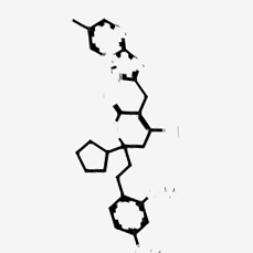 COc1ccc(CCC2(C3CCCC3)CC(O)=C(Cc3nc4ncc(C)cn4n3)C(=O)O2)c(OC)c1